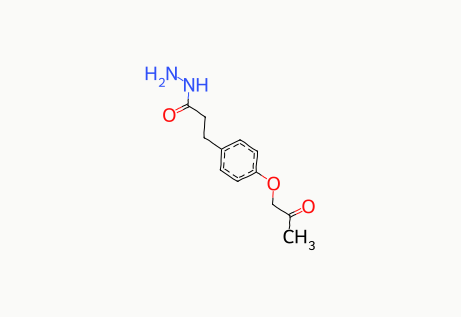 CC(=O)COc1ccc(CCC(=O)NN)cc1